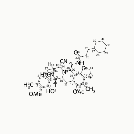 COc1c(C)cc2c(c1O)[C@H]1C3Cc4c(OC(C)=O)c(C)c5c(c4[C@H](CNC(=O)CCC4CCCCC4)N3[C@@H](C#N)[C@H](C2)N1C)OCO5